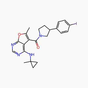 Cc1oc2ncnc(NC3(C)CC3)c2c1C(=O)N1CCC(c2ccc(I)cc2)C1